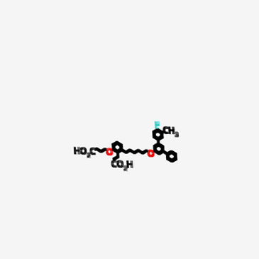 Cc1cc(-c2cc(OCCCCCCc3cccc(OCCCC(=O)O)c3CCC(=O)O)cc(-c3ccccc3)c2)ccc1F